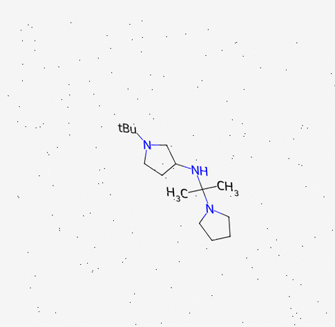 CC(C)(C)N1CCC(NC(C)(C)N2CCCC2)C1